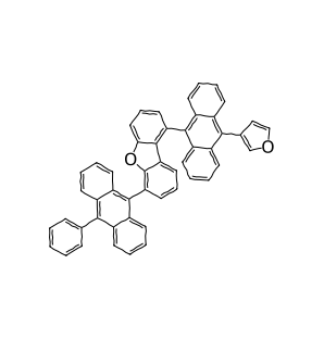 c1ccc(-c2c3ccccc3c(-c3cccc4c3oc3cccc(-c5c6ccccc6c(-c6ccoc6)c6ccccc56)c34)c3ccccc23)cc1